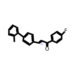 Cc1ccccc1-c1ccc(/C=C/C(=O)c2ccc(F)cc2)cc1